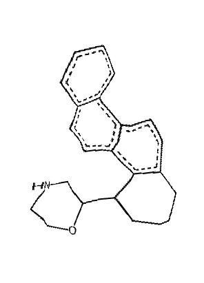 c1ccc2c(c1)ccc1c3c(ccc12)CCCC3C1CNCCO1